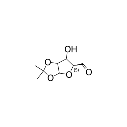 CC1(C)OC2O[C@H](C=O)C(O)C2O1